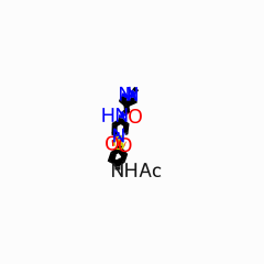 CC(=O)Nc1ccc(S(=O)(=O)N2CCC(NC(=O)c3cnn(C)c3)CC2)cc1